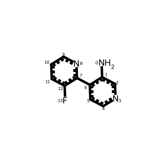 Nc1cnccc1-c1ncccc1F